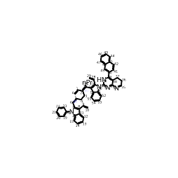 C=C/C(CC/C=C\c1c(C=C)c2ccccc2n1-c1ccccc1)=C(\CCC)c1c(C=C)n([C@H]2N=C3N=CCCC3=C(c3ccc4ccccc4c3)N2)c2ccccc12